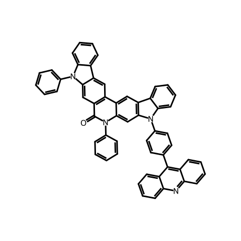 O=c1c2cc3c(cc2c2cc4c5ccccc5n(-c5ccc(-c6c7ccccc7nc7ccccc67)cc5)c4cc2n1-c1ccccc1)c1ccccc1n3-c1ccccc1